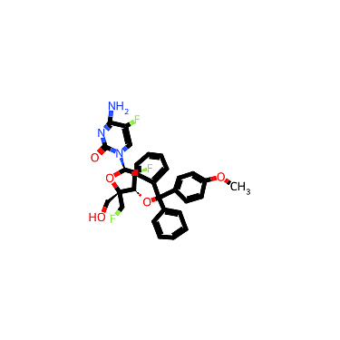 COc1ccc(C(O[C@H]2[C@H](F)[C@H](n3cc(F)c(N)nc3=O)O[C@@]2(CO)CF)(c2ccccc2)c2ccccc2)cc1